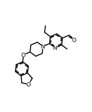 CCc1cc(C=O)c(C)nc1N1CCC(Oc2ccc3c(c2)COC3)CC1